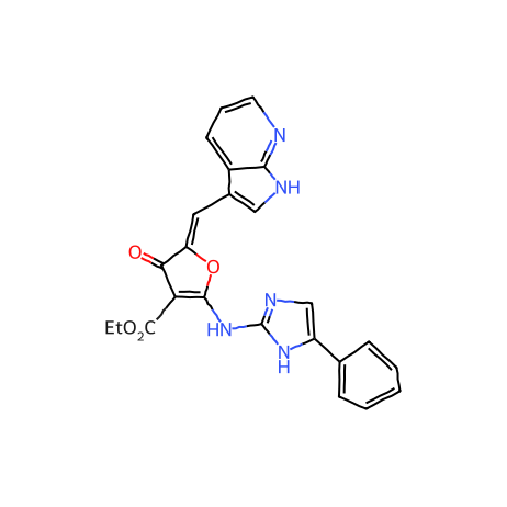 CCOC(=O)C1=C(Nc2ncc(-c3ccccc3)[nH]2)OC(=Cc2c[nH]c3ncccc23)C1=O